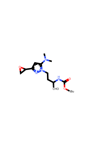 CN(C)c1cc(C2CO2)nn1CCC(C=O)NC(=O)OC(C)(C)C